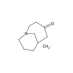 O=C1CCN2CCCC(C1)C2.[CH2]